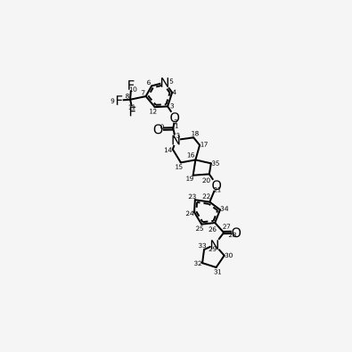 O=C(Oc1cncc(C(F)(F)F)c1)N1CCC2(CC1)CC(Oc1cccc(C(=O)N3CCCC3)c1)C2